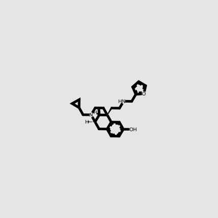 C[C@H]1[C@H]2Cc3ccc(O)cc3[C@@]1(CCNCc1ccco1)CCN2CC1CC1